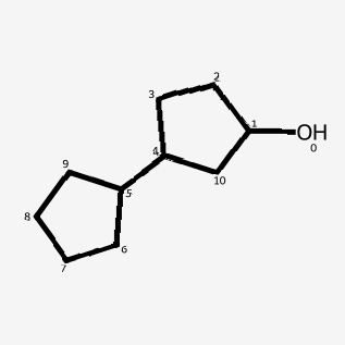 OC1CCC(C2CCCC2)C1